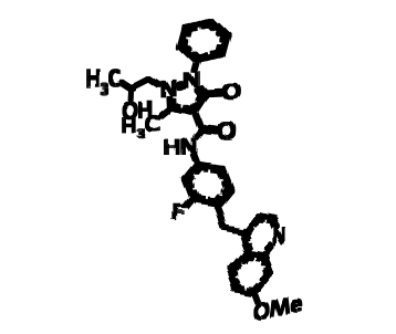 COc1ccc2c(Cc3ccc(NC(=O)c4c(C)n(CC(C)O)n(-c5ccccc5)c4=O)cc3F)ccnc2c1